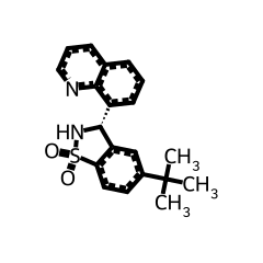 CC(C)(C)c1ccc2c(c1)[C@@H](c1cccc3cccnc13)NS2(=O)=O